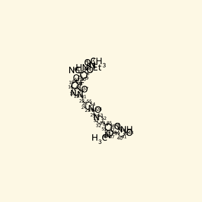 CCN(C)S(=O)(=O)Nc1ccc(F)c(Oc2ccc3ncn(CCC4CCN(C(=O)CN5CCC(c6ccc7c(C8CCC(=O)NC8=O)cn(C)c7c6)CC5)CC4)c(=O)c3c2)c1C#N